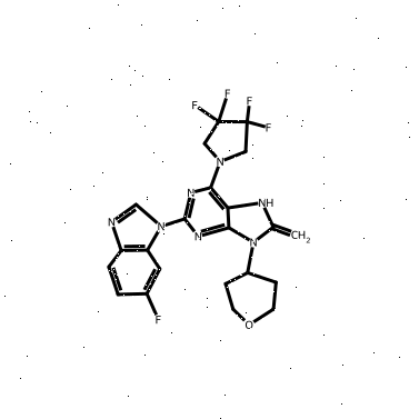 C=C1Nc2c(N3CC(F)(F)C(F)(F)C3)nc(-n3cnc4ccc(F)cc43)nc2N1C1CCOCC1